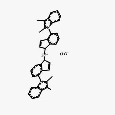 Cc1c(C)n(-c2cccc3c2C=C[CH]3[Zr+2][CH]2C=Cc3c2cccc3-n2c(C)c(C)c3ccccc32)c2ccccc12.[Cl-].[Cl-]